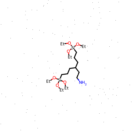 CCO[Si](CCCC(CCN)CCC[Si](OCC)(OCC)OCC)(OCC)OCC